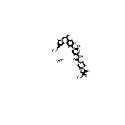 CC(CN1CC2C(N)C2C1)c1ccc(-n2ccc(NC(=O)N3CCN(C(=O)C(C)(C)N)CC3)nc2=O)cc1.Cl